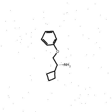 N[C@@H](COc1ccccc1)C1CCC1